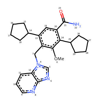 COc1c(Cn2cnc3ncccc32)c(C2CCCC2)cc(C(N)=O)c1C1CCCC1